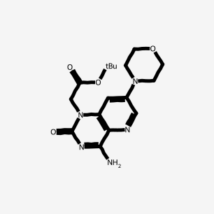 CC(C)(C)OC(=O)Cn1c(=O)nc(N)c2ncc(N3CCOCC3)cc21